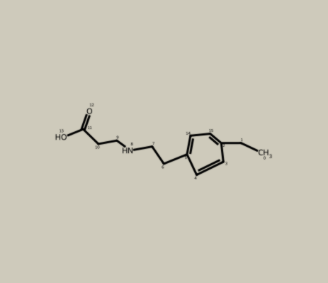 CCc1ccc(CCNCCC(=O)O)cc1